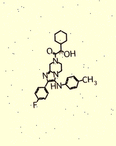 Cc1ccc(Nc2c(-c3ccc(F)cc3)nc3n2CCN(C(=O)[C@H](O)C2CCCCC2)C3)cc1